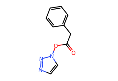 O=C(Cc1ccccc1)On1ccnn1